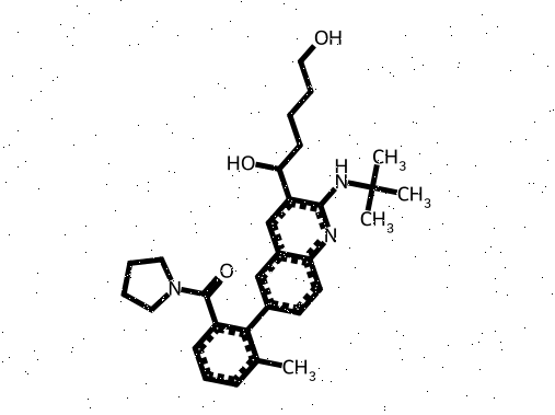 Cc1cccc(C(=O)N2CCCC2)c1-c1ccc2nc(NC(C)(C)C)c(C(O)CCCCO)cc2c1